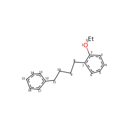 [CH2]COc1ccccc1CCCCc1ccccc1